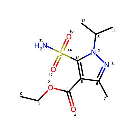 CCOC(=O)c1c(C)nn(C(C)C)c1S(N)(=O)=O